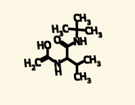 C=C(O)NC(C(=O)NC(C)(C)C)C(C)C